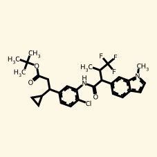 CC(C(C(=O)Nc1cc(C(CC(=O)OC(C)(C)C)C2CC2)ccc1Cl)c1ccc2ccn(C)c2c1)C(F)(F)F